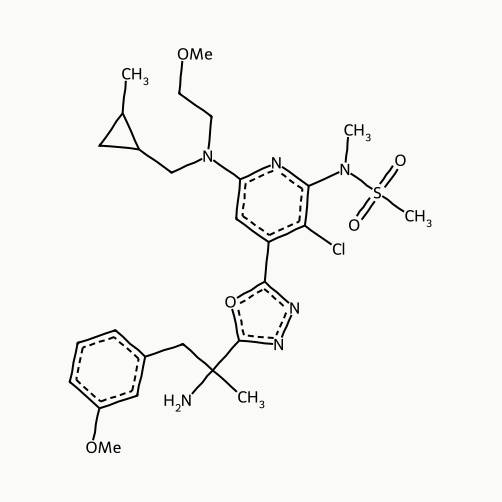 COCCN(CC1CC1C)c1cc(-c2nnc(C(C)(N)Cc3cccc(OC)c3)o2)c(Cl)c(N(C)S(C)(=O)=O)n1